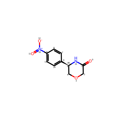 O=C1COC[C@@H](c2ccc([N+](=O)[O-])cc2)N1